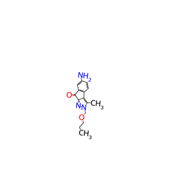 CCCOCn1nc2c(c1C)-c1ccc(N)cc1C2=O